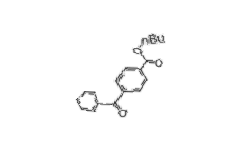 CCCCOC(=O)c1ccc(C(=O)c2ccccc2)cc1